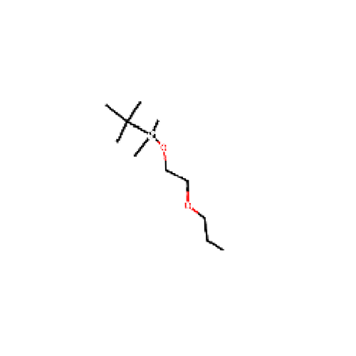 CCCOCCO[Si](C)(C)C(C)(C)C